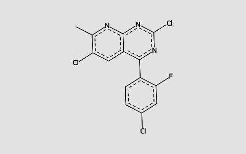 Cc1nc2nc(Cl)nc(-c3ccc(Cl)cc3F)c2cc1Cl